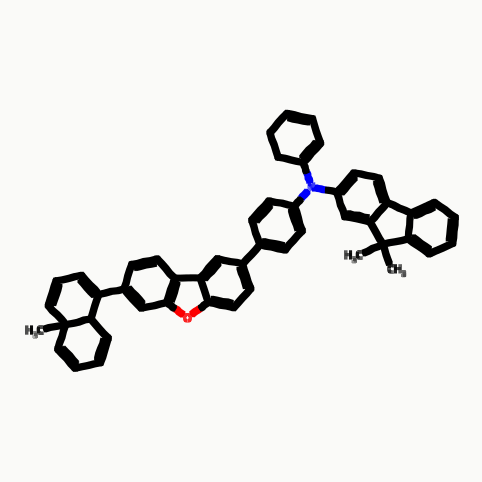 CC1(C)c2ccccc2-c2ccc(N(C3=CC=CCC3)c3ccc(-c4ccc5oc6cc(C7=CC=CC8(C)C=CC=CC78)ccc6c5c4)cc3)cc21